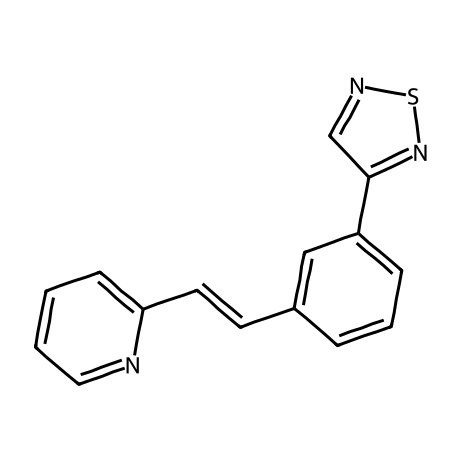 C(=Cc1ccccn1)c1cccc(-c2cnsn2)c1